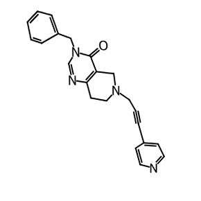 O=c1c2c(ncn1Cc1ccccc1)CCN(CC#Cc1ccncc1)C2